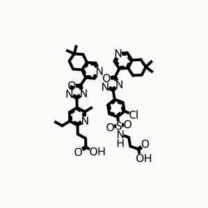 CC1(C)CCc2c(cncc2-c2nc(-c3ccc(S(=O)(=O)NCCC(=O)O)c(Cl)c3)no2)C1.CCc1cc(-c2noc(-c3cncc4c3CCC(C)(C)C4)n2)c(C)nc1CCC(=O)O